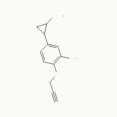 C#CCOc1ccc(C2CC2C(=O)O)cc1OC